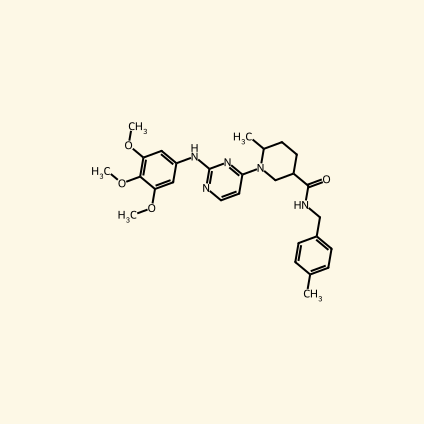 COc1cc(Nc2nccc(N3CC(C(=O)NCc4ccc(C)cc4)CCC3C)n2)cc(OC)c1OC